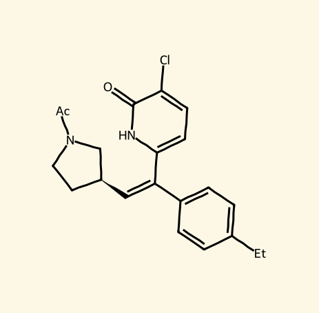 CCc1ccc(/C(=C/[C@H]2CCN(C(C)=O)C2)c2ccc(Cl)c(=O)[nH]2)cc1